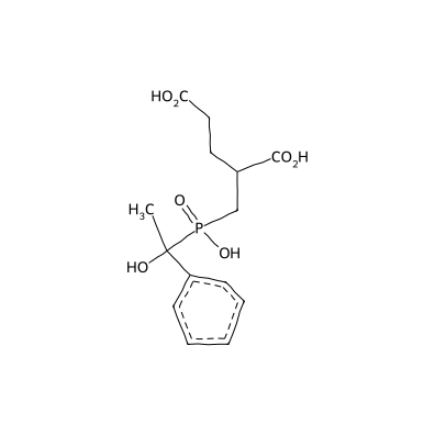 CC(O)(c1ccccc1)P(=O)(O)CC(CCC(=O)O)C(=O)O